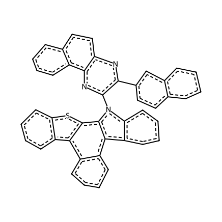 c1ccc2cc(-c3nc4ccc5ccccc5c4nc3-n3c4ccccc4c4c5ccccc5c5c6ccccc6sc5c43)ccc2c1